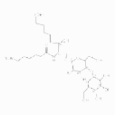 CCCCCCCCCCCCCCCC(=O)N[C@@H](CO[C@@H]1OC(CO)[C@@H](O[C@@H]2OC(CO)[C@H](O)[C@H](O)C2O)[C@H](O)C1O)[C@H](O)CCCCCCCCCCCCCCC